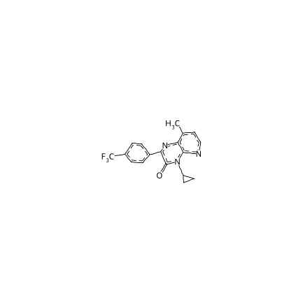 Cc1ccnc2c1nc(-c1ccc(C(F)(F)F)cc1)c(=O)n2C1CC1